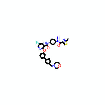 Cc1nc(C(=O)N[C@H]2CC[C@@H](NC(=O)c3cc(F)cnc3Oc3cccc(-c4ccc(CN5CCCOCC5)cc4)c3)CC2)cs1